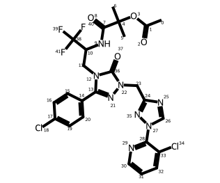 CC(=O)OC(C)(C)C(=O)NC(Cn1c(-c2ccc(Cl)cc2)nn(Cc2ncn(-c3ncccc3Cl)n2)c1=O)C(F)(F)F